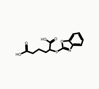 O=C(O)CCCC(Sc1nc2ccccc2o1)C(=O)O